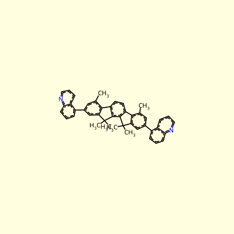 Cc1cc(-c2cccc3ncccc23)cc2c1-c1ccc3c(c1C2(C)C)C(C)(C)c1cc(-c2cccc4ncccc24)cc(C)c1-3